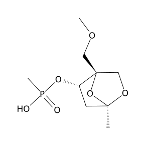 COC[C@]12CO[C@@](C)(C[C@@H]1OP(C)(=O)O)O2